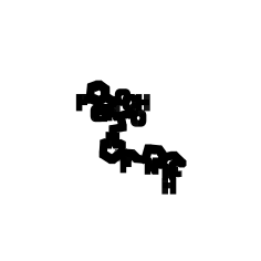 O=C(NC(CCN1CCC[C@@](F)(CCc2ccc3c(n2)NCCC3)C1)C(=O)O)c1cccc(F)c1Cl